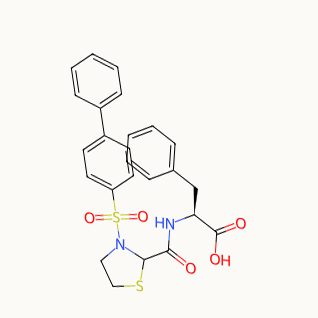 O=C(N[C@@H](Cc1ccccc1)C(=O)O)C1SCCN1S(=O)(=O)c1ccc(-c2ccccc2)cc1